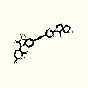 Cn1c(=O)n(C2CCC(=O)NC2=O)c2ccc(C#Cc3cnc(N4CCC5(CCNC5)C4=O)nc3)cc21